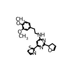 COc1ccc(CCNc2cc(-c3nccs3)nc(C3CC=CO3)n2)cc1OC